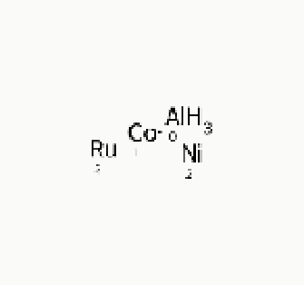 [AlH3].[Co].[Ni].[Ru]